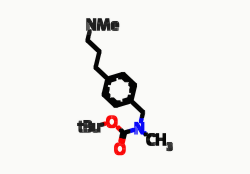 CNCCCc1ccc(CN(C)C(=O)OC(C)(C)C)cc1